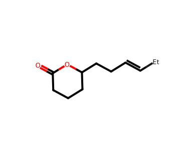 CCC=CCCC1CCCC(=O)O1